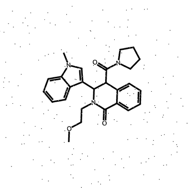 COCCN1C(=O)c2ccccc2C(C(=O)N2CCCC2)C1c1cn(C)c2ccccc12